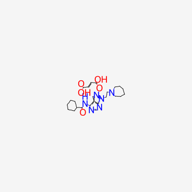 O=C(Nc1ncnc2c1cnn2CCN1CCCCCC1)C1CCCCC1.O=C(O)C=CC(=O)O